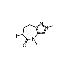 CN1C(=O)C(I)CCc2nn(C)cc21